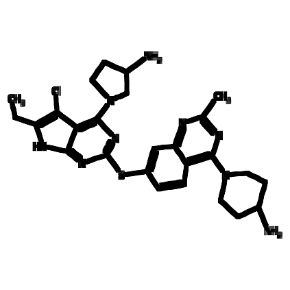 CCc1[nH]c2nc(Sc3ccc4c(N5CCC(N)CC5)nc(C)nc4c3)nc(N3CCC(N)C3)c2c1Cl